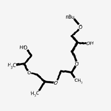 CCCCOCC(O)COC(C)COC(C)COC(C)CO